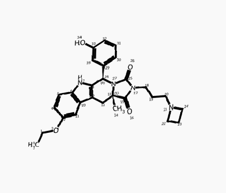 CCOc1ccc2[nH]c3c(c2c1)C[C@@]1(C)C(=O)N(CCCN2CCC2)C(=O)N1[C@@H]3c1cccc(O)c1